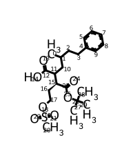 CC(CCc1ccccc1)CC(C(=O)O)[C@H](CCOS(C)(=O)=O)C(=O)OC(C)(C)C